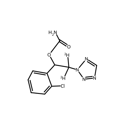 [2H]C([2H])(C(OC(N)=O)c1ccccc1Cl)n1ncnn1